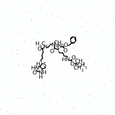 CN(CCN(C)C(=O)[C@H](CCCCNC(=O)OC(C)(C)C)NC(=O)OCc1ccccc1)C(=O)CCCC[C@H]1SC[C@H]2NC(=O)N[C@H]21